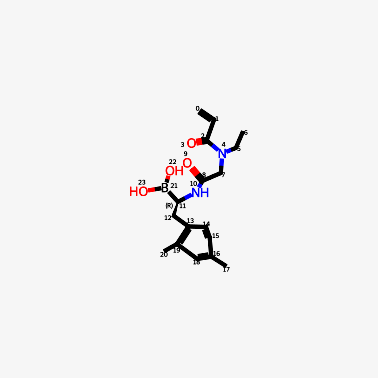 C=CC(=O)N(CC)CC(=O)N[C@@H](Cc1ccc(C)cc1C)B(O)O